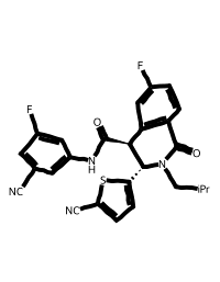 CC(C)CN1C(=O)c2ccc(F)cc2[C@H](C(=O)Nc2cc(F)cc(C#N)c2)[C@H]1c1ccc(C#N)s1